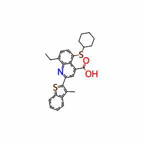 CCc1ccc(SC2CCCCC2)c2c(C(=O)O)cc(-c3sc4ccccc4c3C)nc12